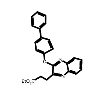 CCOC(=O)CCc1nc2ccccc2nc1Oc1ccc(-c2ccccc2)cc1